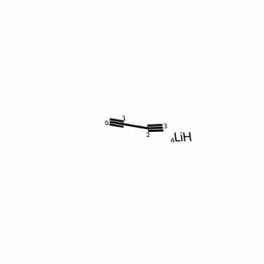 [C]#CC#C.[LiH]